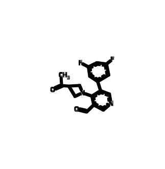 CC(=O)C1CN(c2c(C=O)cncc2-c2cc(F)cc(F)c2)C1